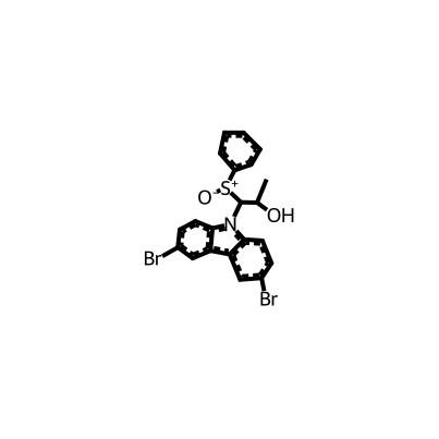 CC(O)C(n1c2ccc(Br)cc2c2cc(Br)ccc21)[S+]([O-])c1ccccc1